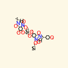 COc1ccc(C2=CN3C(=O)c4cc(OC)c(OCCCOc5cc6c(cc5OC)C(=O)N5CC7(CC7)C[C@H]5C(=O)N6COCC[Si](C)(C)C)cc4N(COCC[Si](C)(C)C)C(=O)[C@@H]3C2)cc1